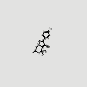 CC1Cn2nc(-c3ccc(F)cc3)c(Br)c2C(C)(C)O1